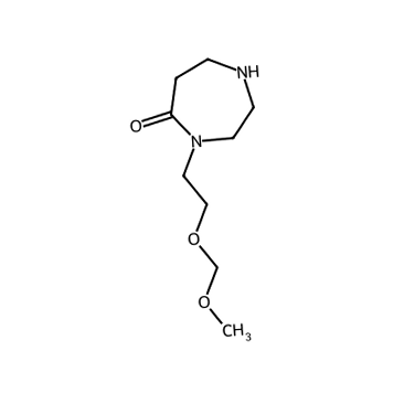 COCOCCN1CCNCCC1=O